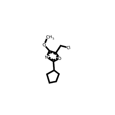 COc1nc(C2CCCC2)oc1CCl